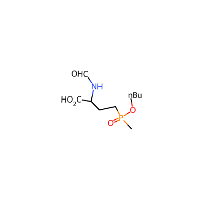 CCCCOP(C)(=O)CCC(NC=O)C(=O)O